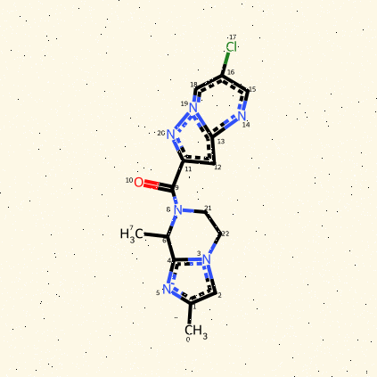 Cc1cn2c(n1)C(C)N(C(=O)c1cc3ncc(Cl)cn3n1)CC2